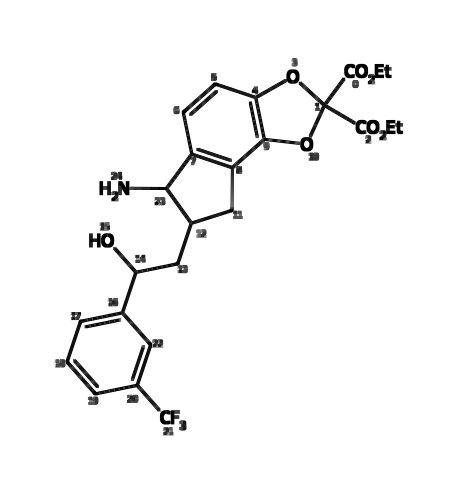 CCOC(=O)C1(C(=O)OCC)Oc2ccc3c(c2O1)CC(CC(O)c1cccc(C(F)(F)F)c1)C3N